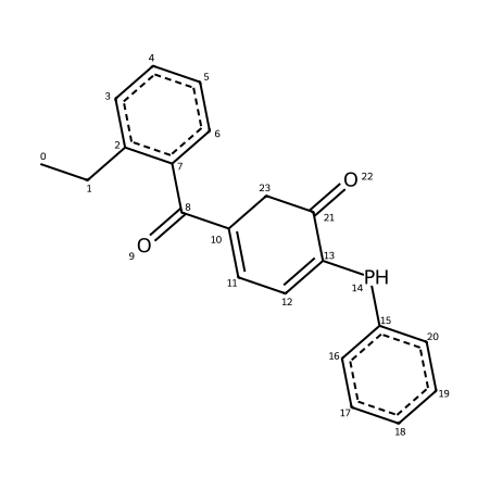 CCc1ccccc1C(=O)C1=CC=C(Pc2ccccc2)C(=O)C1